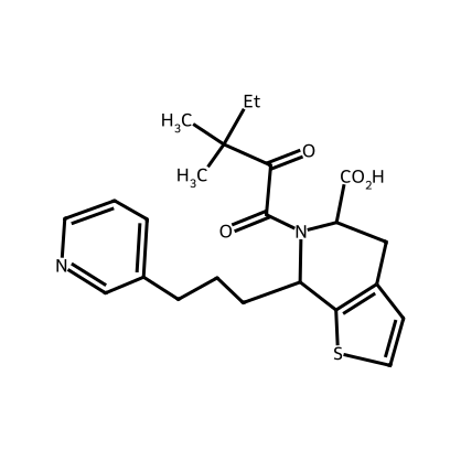 CCC(C)(C)C(=O)C(=O)N1C(C(=O)O)Cc2ccsc2C1CCCc1cccnc1